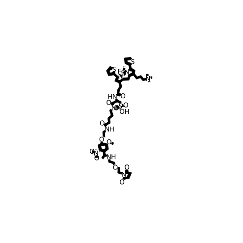 COc1cc(C(C)NCCOCCN2C(=O)C=CC2=O)c([N+](=O)[O-])cc1OCCNC(=O)CCCCNC(=O)C(CS(=O)(=O)O)NC(=O)CCC1=CC(c2cccs2)=[N+]2C1=Cc1c(CCC[N+](C)(C)C)cc(-c3cccs3)n1[B-]2(F)F